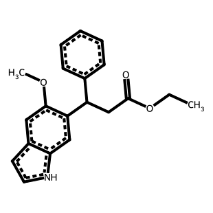 CCOC(=O)CC(c1ccccc1)c1cc2[nH]ccc2cc1OC